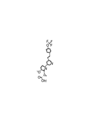 COc1ccc(-c2cncc(/C=C/c3ccc(OC(F)(F)F)cc3)c2)nc1[C@H]1C[C@@H]1C(=O)O